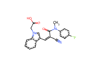 CN(C(=O)C(C#N)=Cc1cn(CC(=O)O)c2ccccc12)c1ccc(F)cc1